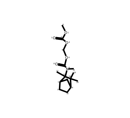 COC(=O)OCOC(=O)N(C)C1(C)C2CCC(C2)C1(C)C